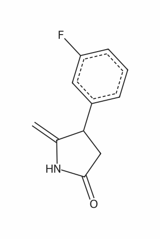 C=C1NC(=O)CC1c1cccc(F)c1